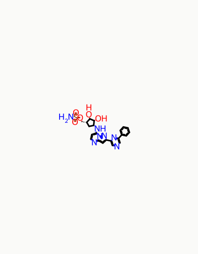 NS(=O)(=O)OC[C@H]1C[C@@H](Nc2ccnc3cc(-c4cncc(-c5ccccc5)n4)nn23)[C@H](O)[C@@H]1O